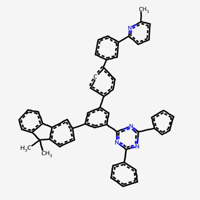 Cc1cccc(-c2cccc(-c3ccc(-c4cc(-c5ccc6c(c5)-c5ccccc5C6(C)C)cc(-c5nc(-c6ccccc6)nc(-c6ccccc6)n5)c4)cc3)c2)n1